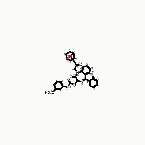 O=C(Nc1cccc(C(=O)O)c1)NC1N=C(c2ccccc2F)c2ccccc2N(CC(=O)N2CC3CCC(CC3)C2)C1=O